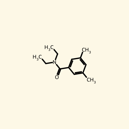 CCN(CC)C(=O)c1cc(C)cc(C)c1